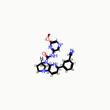 COc1cncc(NC(=O)N2c3nc(-c4cccc(C#N)c4)ccc3N3CC[C@H]2C3)n1